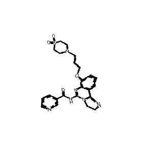 O=C(NC1=Nc2c(OCCCN3CCS(=O)(=O)CC3)cccc2C2=NCCN12)c1cccnc1